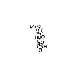 COc1ccc(C(=O)NCCN2CCC(=O)NC2=O)cc1